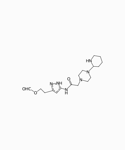 O=COCCc1cc(NC(=O)CN2CCN(C3CCCCN3)CC2)[nH]n1